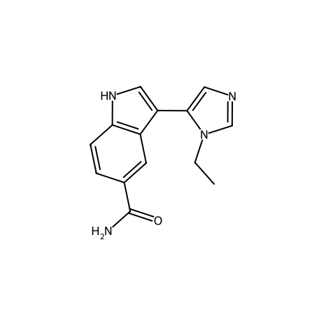 CCn1cncc1-c1c[nH]c2ccc(C(N)=O)cc12